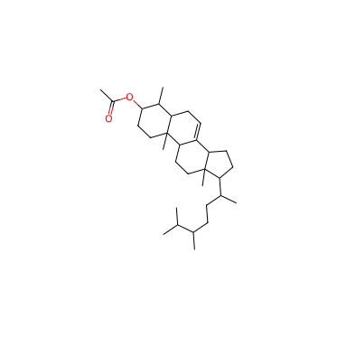 CC(=O)OC1CCC2(C)C3CCC4(C)C(CCC4C(C)CCC(C)C(C)C)C3=CCC2C1C